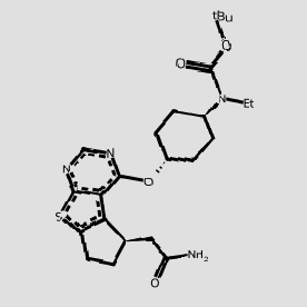 CCN(C(=O)OC(C)(C)C)[C@H]1CC[C@H](Oc2ncnc3sc4c(c23)[C@@H](CC(N)=O)CC4)CC1